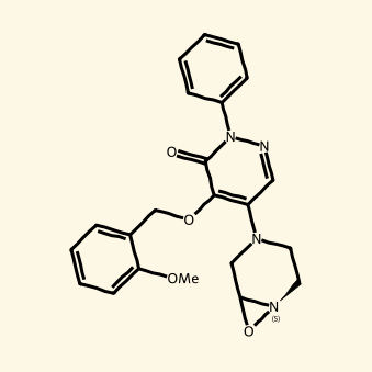 COc1ccccc1COc1c(N2CC[N@@]3OC3C2)cnn(-c2ccccc2)c1=O